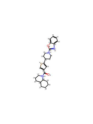 O=C(c1csc(C2CCN(c3nc4ccccc4o3)CC2)c1)N1CCCC2CCCCC21